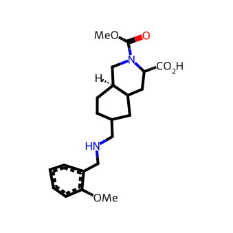 COC(=O)N1C[C@@H]2CCC(CNCc3ccccc3OC)CC2CC1C(=O)O